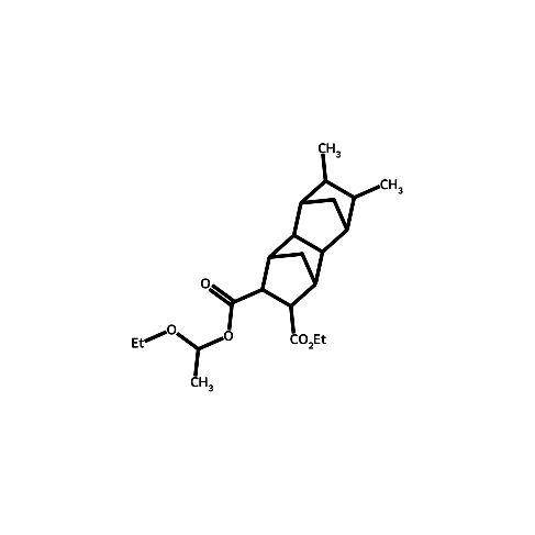 CCOC(=O)C1C2CC(C1C(=O)OC(C)OCC)C1C3CC(C(C)C3C)C21